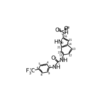 O=C(Nc1ccc(C(F)(F)F)cc1)Nc1ccc2cc([SH](=O)=O)[nH]c2c1